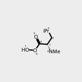 CN[C@@H](CC(C)C)C(=O)OO